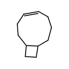 C1=C\CCC2CCC2CCC/1